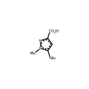 CCCCc1cc(C(=O)OCC)nn1C(C)(C)C